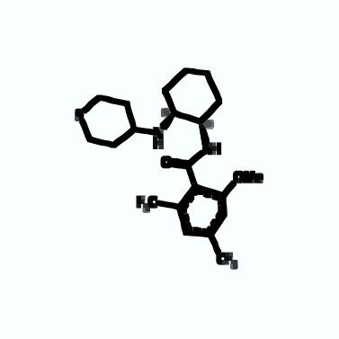 COc1cc(C(F)(F)F)cc(C(F)(F)F)c1C(=O)N[C@@H]1CCCC[C@@H]1NC1CCSCC1